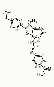 Cc1c(-c2ccc(CO)cc2)sc2c(NN=Cc3ccc(C(=O)O)cc3)ncnc12